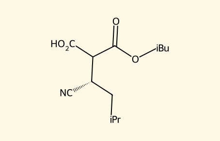 CCC(C)OC(=O)C(C(=O)O)[C@@H](C#N)CC(C)C